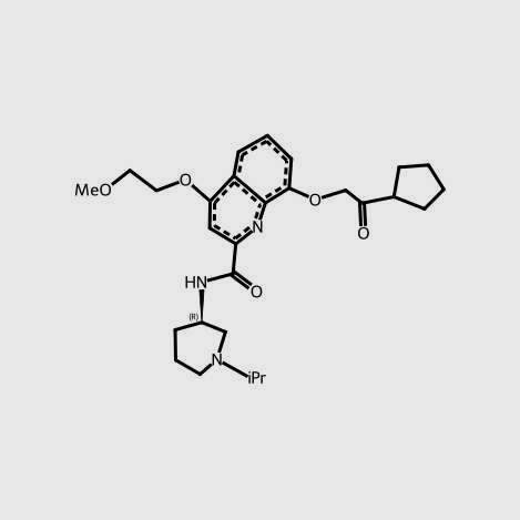 COCCOc1cc(C(=O)N[C@@H]2CCCN(C(C)C)C2)nc2c(OCC(=O)C3CCCC3)cccc12